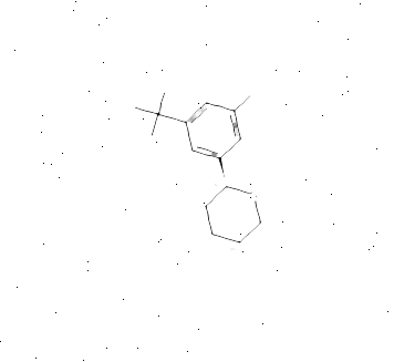 C[C@@H]1CC[C@@H](c2cc(Cl)cc(C(F)(F)F)c2)NC1